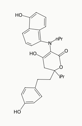 CCCN(C1=C(O)CC(CCc2ccc(O)cc2)(C(C)C)OC1=O)c1cccc2c(O)cccc12